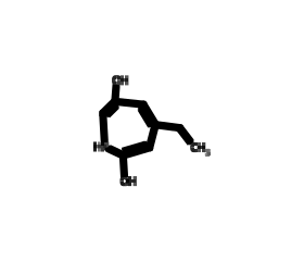 CCC1=CC(O)=CNC(O)=C1